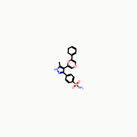 Cc1[nH]nc(-c2ccc(S(N)(=O)=O)cc2)c1C1=COC=C(C2=CC=CCC2)O1